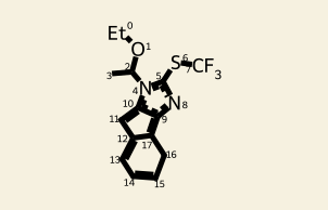 CCOC(C)n1c(SC(F)(F)F)nc2c1=CC1=CC=CCC=21